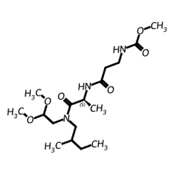 CCC(C)CN(CC(OC)OC)C(=O)[C@H](C)NC(=O)CCNC(=O)OC